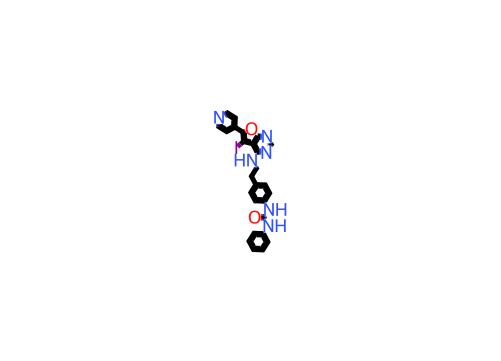 O=C(Nc1ccccc1)Nc1ccc(CCNc2ncnc3oc(-c4ccncc4)c(I)c23)cc1